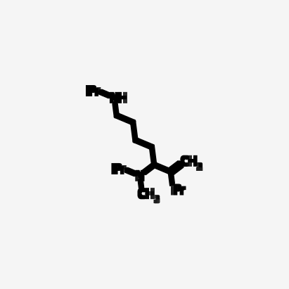 C=C(C(C)C)C(CCCCNC(C)C)N(C)C(C)C